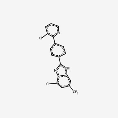 FC(F)(F)c1cc(Cl)c2nc(-c3ccc(-c4ncccc4Cl)cc3)[nH]c2c1